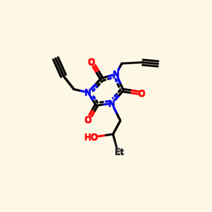 C#CCn1c(=O)n(CC#C)c(=O)n(CC(O)CC)c1=O